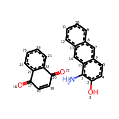 Nc1c(O)ccc2cc3ccccc3cc12.O=C1C=CC(=O)c2ccccc21